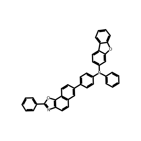 c1ccc(-c2nc3ccc4cc(-c5ccc(N(c6ccccc6)c6ccc7c(c6)oc6ccccc67)cc5)ccc4c3o2)cc1